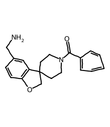 NCc1ccc2c(c1)C1(CCN(C(=O)c3ccccc3)CC1)CO2